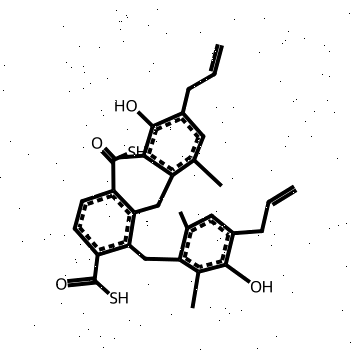 C=CCc1cc(C)c(Cc2c(C(=O)S)ccc(C(=O)S)c2Cc2c(C)cc(CC=C)c(O)c2C)c(C)c1O